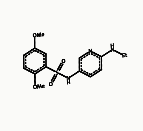 CCNc1ccc(NS(=O)(=O)c2cc(OC)ccc2OC)cn1